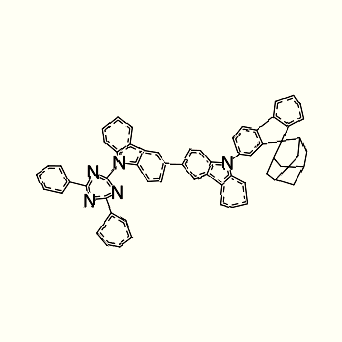 c1ccc(-c2nc(-c3ccccc3)nc(-n3c4ccccc4c4cc(-c5ccc6c(c5)c5ccccc5n6-c5ccc6c(c5)C5(c7ccccc7-6)C6CC7CC(C6)CC5C7)ccc43)n2)cc1